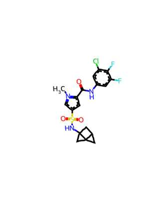 Cn1cc(S(=O)(=O)NC23CC4CC42C3)cc1C(=O)Nc1cc(F)c(F)c(Cl)c1